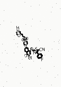 CCn1cc(N(C)c2nc(-c3ccc(F)cc3)c(C#N)s2)c2cc(N3CCN(S(=O)(=O)CCCC4CNCCO4)CC3)ccc2c1=O